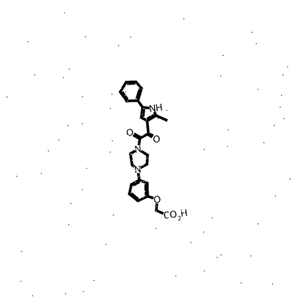 Cc1[nH]c(-c2ccccc2)cc1C(=O)C(=O)N1CCN(c2cccc(OCC(=O)O)c2)CC1